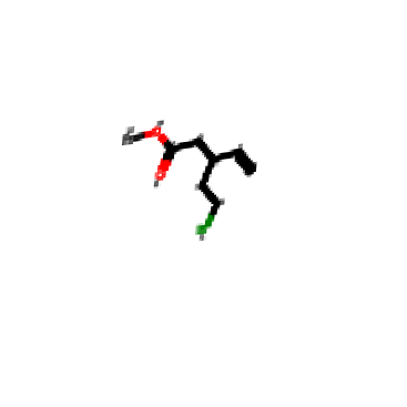 C=CC(CCBr)CC(=O)OCC